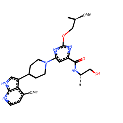 COc1ccnc2[nH]cc(C3CCN(c4cc(C(=O)N[C@@H](C)CO)nc(OC[C@@H](C)OC)n4)CC3)c12